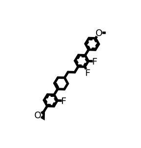 COc1ccc(-c2ccc(CCC3CC=C(c4ccc(C5CO5)cc4F)CC3)c(F)c2F)cc1